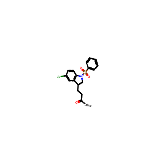 COC(=O)CCC1CN(S(=O)(=O)c2ccccc2)c2ccc(Br)cc21